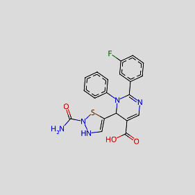 NC(=O)N1NC=C(C2C(C(=O)O)=CN=C(c3cccc(F)c3)N2c2ccccc2)S1